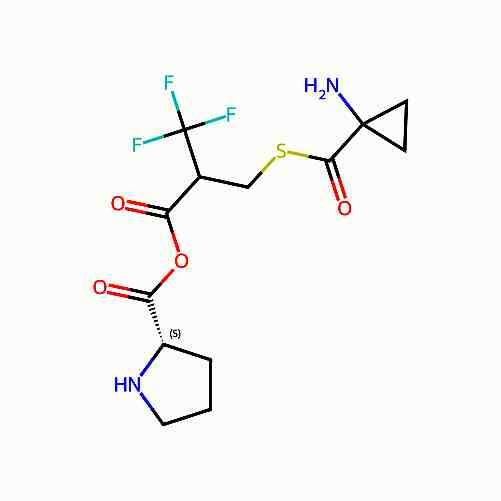 NC1(C(=O)SCC(C(=O)OC(=O)[C@@H]2CCCN2)C(F)(F)F)CC1